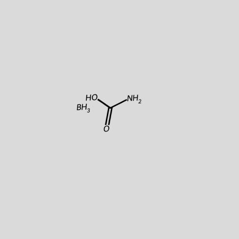 B.NC(=O)O